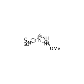 COCCn1cc(Nc2nc(-c3ccc(N4CCOC4=O)cc3)cs2)c(C)n1